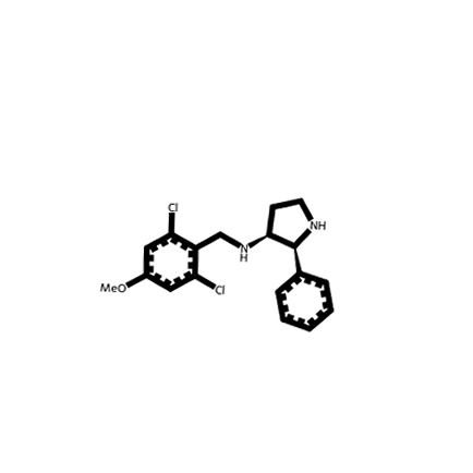 COc1cc(Cl)c(CN[C@H]2CCN[C@H]2c2ccccc2)c(Cl)c1